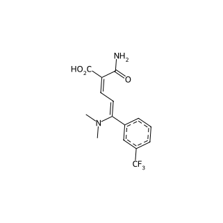 CN(C)C(=CC=C(C(N)=O)C(=O)O)c1cccc(C(F)(F)F)c1